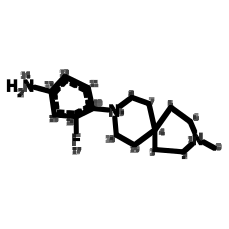 CN1CCC2(CC1)CCN(c1ccc(N)cc1F)CC2